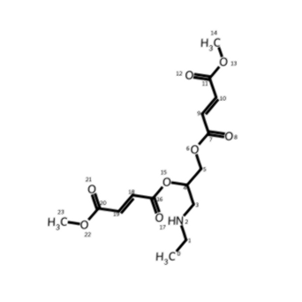 CCNCC(COC(=O)/C=C/C(=O)OC)OC(=O)/C=C/C(=O)OC